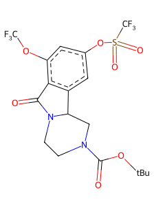 CC(C)(C)OC(=O)N1CCN2C(=O)c3c(OC(F)(F)F)cc(OS(=O)(=O)C(F)(F)F)cc3C2C1